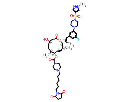 C/C(=C\c1cc(F)cc(N2CCN(S(=O)(=O)c3cnn(C)c3)CC2)c1)[C@H]1OC(=O)C[C@H](O)CC[C@H](C)[C@@H](OC(=O)N2CCN(CCCCCCN3C(=O)CCC3=O)CC2)/C=C/[C@@H]1C